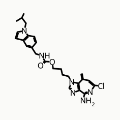 C=C1C=C(Cl)N=C(N)c2ncn(CCCCOC(=O)NCc3ccc4c(ccn4CC(C)C)c3)c21